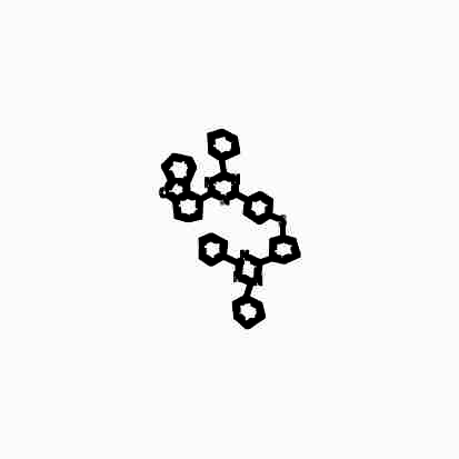 c1ccc(-c2nc(-c3ccccc3)nc(-c3cccc(Sc4ccc(-c5nc(-c6ccccc6)nc(-c6cccc7oc8ccccc8c67)n5)cc4)c3)n2)cc1